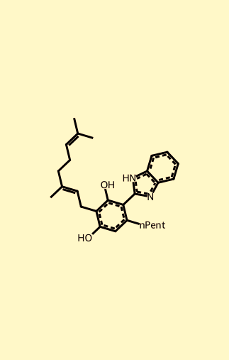 CCCCCc1cc(O)c(C/C=C(\C)CCC=C(C)C)c(O)c1-c1nc2ccccc2[nH]1